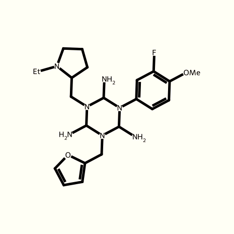 CCN1CCCC1CN1C(N)N(Cc2ccco2)C(N)N(c2ccc(OC)c(F)c2)C1N